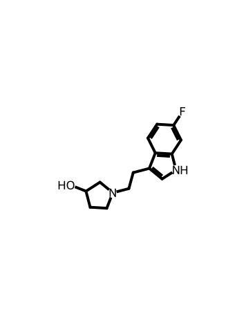 OC1CCN(CCc2c[nH]c3cc(F)ccc23)C1